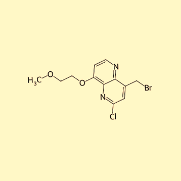 COCCOc1ccnc2c(CBr)cc(Cl)nc12